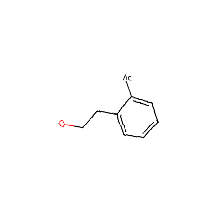 CC(=O)c1ccccc1CC[O]